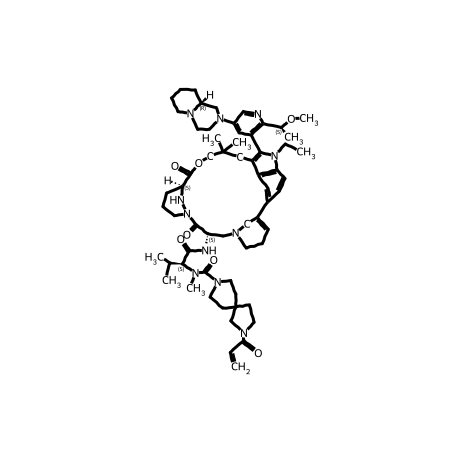 C=CC(=O)N1CCC2(CCN(C(=O)N(C)[C@H](C(=O)N[C@H]3CN4CCC=C(C4)c4ccc5c(c4)c(c(-c4cc(N6CCN7CCCC[C@@H]7C6)cnc4[C@H](C)OC)n5CC)CC(C)(C)COC(=O)[C@@H]4CCCN(N4)C3=O)C(C)C)CC2)C1